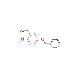 NC(=O)N(CC(F)(F)F)NC(=O)OCc1ccccc1